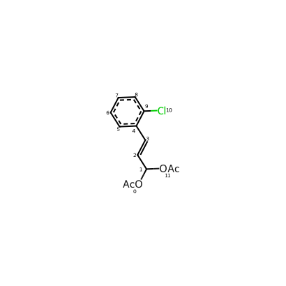 CC(=O)OC(/C=C/c1ccccc1Cl)OC(C)=O